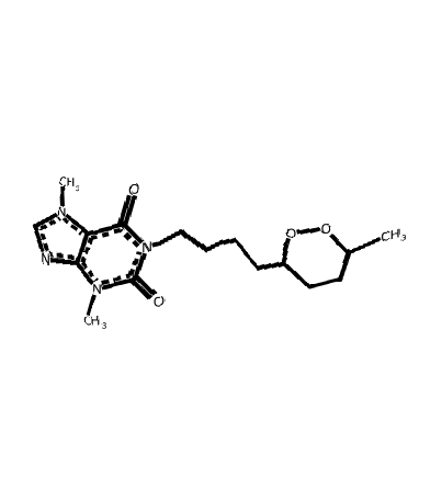 CC1CCC(CCCCn2c(=O)c3c(ncn3C)n(C)c2=O)OO1